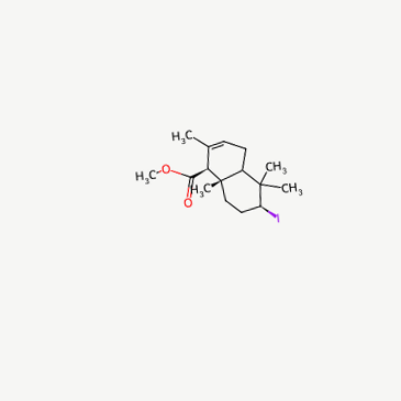 COC(=O)[C@H]1C(C)=CCC2C(C)(C)[C@@H](I)CC[C@@]21C